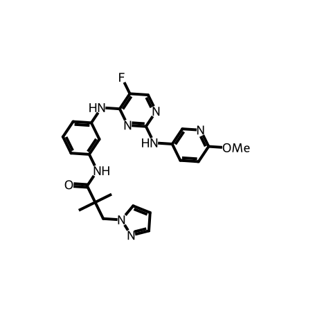 COc1ccc(Nc2ncc(F)c(Nc3cccc(NC(=O)C(C)(C)Cn4cccn4)c3)n2)cn1